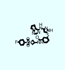 O=C(NC1CN(S(=O)(=O)c2ccc(F)cc2)C1)c1cccc(Sc2cc(Nc3ncnn4cccc34)n[nH]2)c1